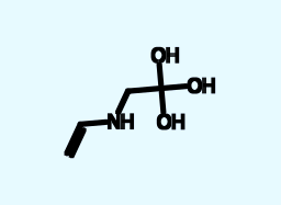 C=CNCC(O)(O)O